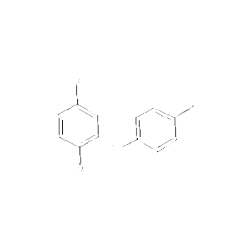 [C-]#[N+]c1ccc(Br)cc1Oc1ccc(C)cc1